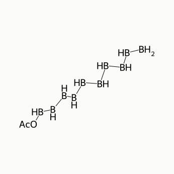 BBBBBBBBBBOC(C)=O